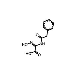 O=C(Cc1ccccc1)NC(=NO)C(=O)O